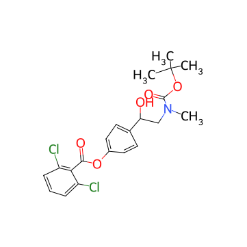 CN(CC(O)c1ccc(OC(=O)c2c(Cl)cccc2Cl)cc1)C(=O)OC(C)(C)C